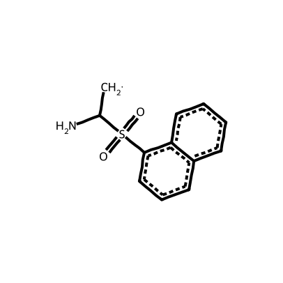 [CH2]C(N)S(=O)(=O)c1cccc2ccccc12